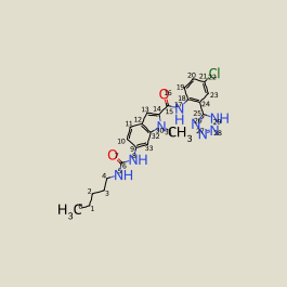 CCCCCNC(=O)Nc1ccc2cc(C(=O)Nc3ccc(Cl)cc3-c3nnn[nH]3)n(C)c2c1